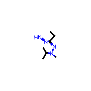 CC/C(N=N)=N/N(C)C(C)C